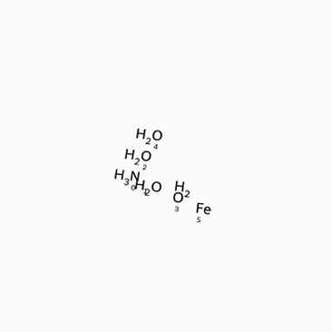 N.O.O.O.O.[Fe]